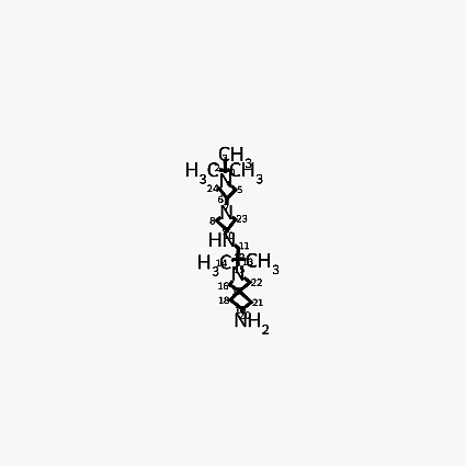 CC(C)(C)N1CC(N2CC(NCC(C)(C)N3CC4(CC(N)C4)C3)C2)C1